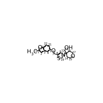 Cc1cc2cc(OCC3=CN(C4(CO)CCOCC4)CS3)ccc2o1